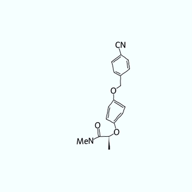 CNC(=O)[C@H](C)Oc1ccc(OCc2ccc(C#N)cc2)cc1